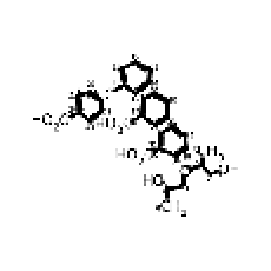 CC(O)COC(C)CO.O=C(O)c1ccccc1.O=C(O)c1ccccc1.O=C(O)c1ccccc1.O=C(O)c1ccccc1